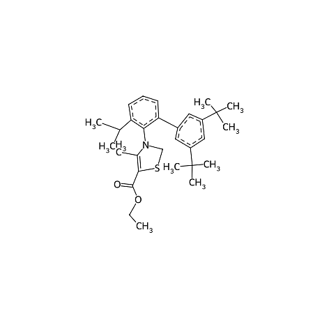 CCOC(=O)C1=C(C)N(c2c(-c3cc(C(C)(C)C)cc(C(C)(C)C)c3)cccc2C(C)C)CS1